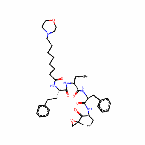 CC(C)CC(NC(=O)[C@H](CCc1ccccc1)NC(=O)CCCCCCCN1CCOCC1)C(=O)N[C@@H](Cc1ccccc1)C(=O)NC(CC(C)C)C(=O)C1(C)CO1